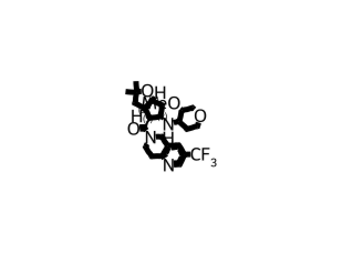 COC1COCCC1N[C@@H]1C[C@H]2OC(C)(C)C[C@H]2[C@@H]1C(=O)N1CCc2ncc(C(F)(F)F)cc2C1